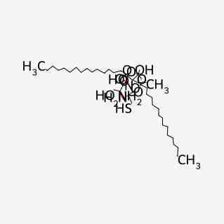 CCCCCCCCCCCCCCCC(=O)OC(O)(OC(=O)CCCCCCCCCCCCCCC)C(CCC)(C(=O)O)N(C(=O)C(N)CO)C(=O)C(N)CS